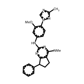 CNc1nc(Nc2ccc(-n3cnc(C)n3)c(OC)c2)nc2c1CCC2c1ccccc1